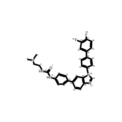 CN(C)CCNC(=O)Nc1ccc(-c2ccc3ncn(-c4ccc(-c5ccc(F)c(F)c5)cc4)c3c2)cc1